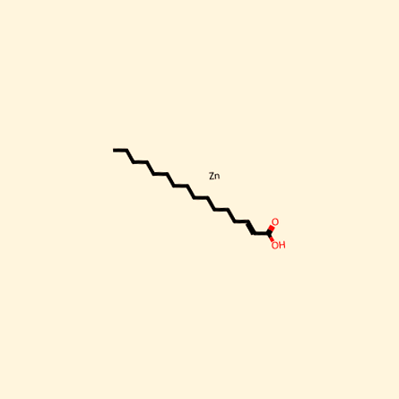 CCCCCCCCCCCCCC=CC(=O)O.[Zn]